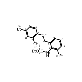 CCOC(=O)Nc1c(COc2ccc(CC)cc2C)cccc1C(C)C